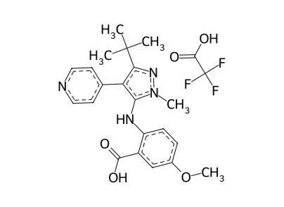 COc1ccc(Nc2c(-c3ccncc3)c(C(C)(C)C)nn2C)c(C(=O)O)c1.O=C(O)C(F)(F)F